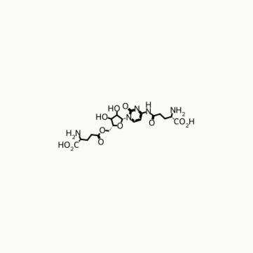 N[C@@H](CCC(=O)Nc1ccn([C@@H]2O[C@H](COC(=O)CC[C@H](N)C(=O)O)C(O)C2O)c(=O)n1)C(=O)O